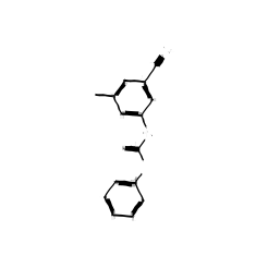 Cc1cc(C#N)cc(NC(=O)Oc2ccccc2)c1